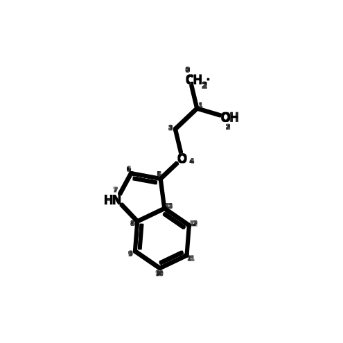 [CH2]C(O)COc1c[nH]c2ccccc12